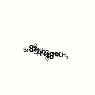 CN1CCN(c2ccc3c4c(cccc24)C(=O)N(CCNCCNCCN2C(=O)c4cccc5c(Br)ccc(c45)C2=O)C3=O)CC1